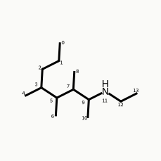 CCCC(C)C(C)C(C)C(C)NCC